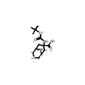 CC(C)(C)OC(=O)NC1(C(=O)O)CC2COCC(C1)N2